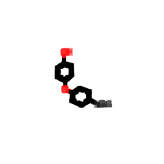 CCCCCCCCc1ccc(Oc2ccc(O)cc2)cc1